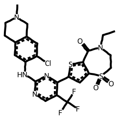 CCN1CCS(=O)(=O)c2cc(-c3nc(Nc4cc5c(cc4Cl)CN(C)CC5)ncc3C(F)(F)F)sc2C1=O